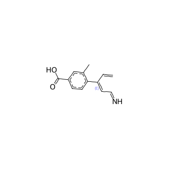 C=C/C(=C\C=N)c1ccc(C(=O)O)cc1C